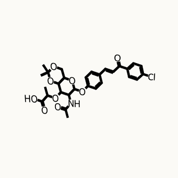 CC(=O)NC1C(Oc2ccc(/C=C/C(=O)c3ccc(Cl)cc3)cc2)OC2COC(C)(C)OC2C1OC(C)C(=O)O